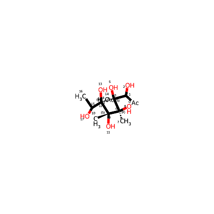 CC(=O)C(O)[C@](C)(O)[C@@](C)(O)[C@](C)(O)[C@@](O)(C(C)=O)C(C)O